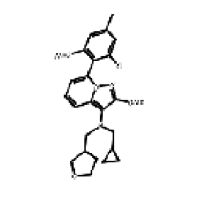 COc1cc(C)cc(Cl)c1-c1cccc2c(N(CC3CC3)CC3CCOC3)c(OC)nn12